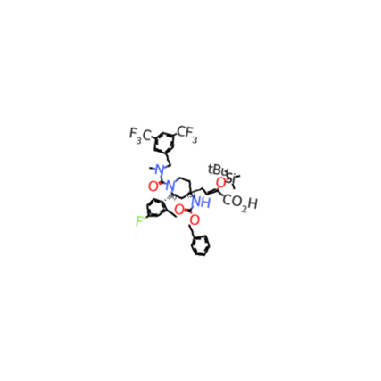 Cc1cc(F)ccc1[C@H]1C[C@@](CC=C(O[Si](C)(C)C(C)(C)C)C(=O)O)(NC(=O)OCc2ccccc2)CCN1C(=O)N(C)Cc1cc(C(F)(F)F)cc(C(F)(F)F)c1